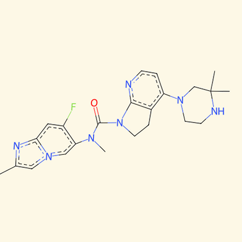 Cc1cn2cc(N(C)C(=O)N3CCc4c(N5CCNC(C)(C)C5)ccnc43)c(F)cc2n1